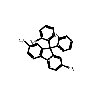 Nc1ccccc1C1(c2ccccc2N)c2cc([N+](=O)[O-])ccc2-c2ccc([N+](=O)[O-])cc21